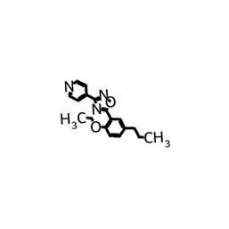 CCCc1ccc(OCC)c(-c2nc(-c3ccncc3)no2)c1